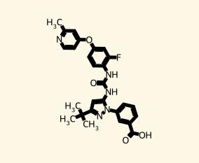 Cc1cc(Oc2ccc(NC(=O)Nc3cc(C(C)(C)C)nn3-c3cccc(C(=O)O)c3)c(F)c2)ccn1